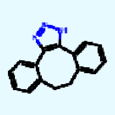 c1ccc2c(c1)CCc1ccccc1-c1[nH]nnc1-2